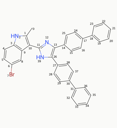 Cc1[nH]c2ccc(Br)cc2c1-c1nc(-c2ccc(-c3ccccc3)cc2)c(-c2ccc(-c3ccccc3)cc2)[nH]1